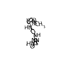 Cc1nc2c(ccc3nccc(CNC4CCC(NCc5cnc6c(n5)NC(=O)CS6)CC4)c32)o1